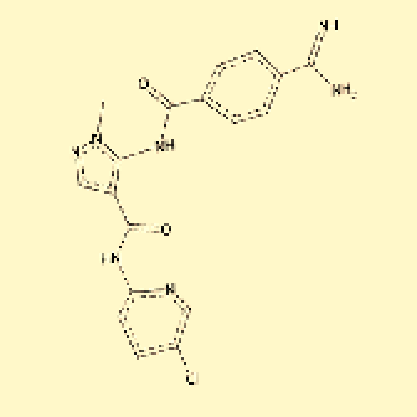 Cn1ncc(C(=O)Nc2ccc(Cl)cn2)c1NC(=O)c1ccc(C(=N)N)cc1